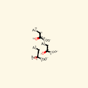 CC(=O)CC(=O)C(=O)[O-].CC(=O)CC(=O)C(=O)[O-].CC(=O)CC(=O)C(=O)[O-].[Au+3]